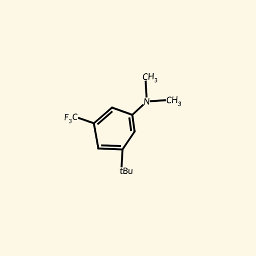 CN(C)c1cc(C(C)(C)C)cc(C(F)(F)F)c1